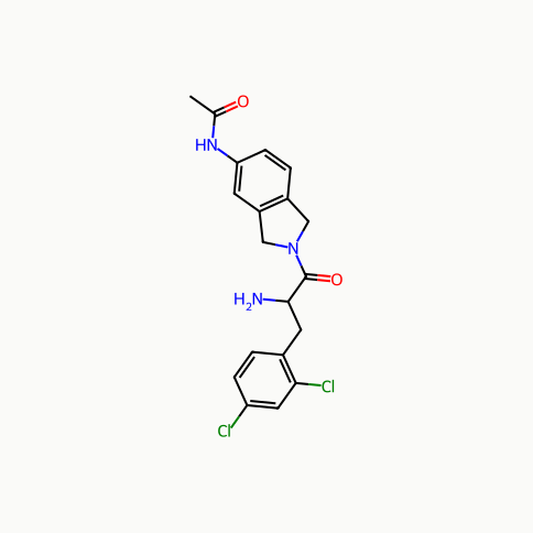 CC(=O)Nc1ccc2c(c1)CN(C(=O)C(N)Cc1ccc(Cl)cc1Cl)C2